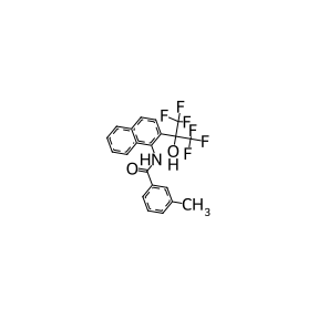 Cc1cccc(C(=O)Nc2c(C(O)(C(F)(F)F)C(F)(F)F)ccc3ccccc23)c1